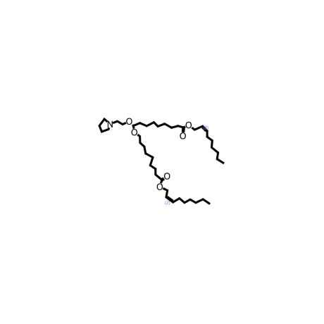 CCCCCC/C=C\COC(=O)CCCCCCCCOC(CCCCCCCC(=O)OC/C=C\CCCCCC)OCCN1CCCC1